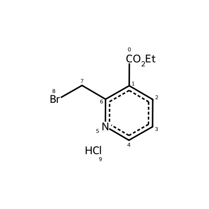 CCOC(=O)c1cccnc1CBr.Cl